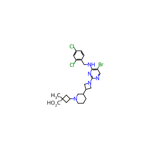 CC1(C(=O)O)CC(N2CCCC(C3CN(c4ncc(Br)c(NCc5ccc(Cl)cc5Cl)n4)C3)C2)C1